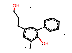 Cc1cc(CCCO)cc(-c2ccccc2)c1O